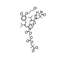 COCCCOc1cc(C[C@@H](C[C@H]2[C@H](C[C@H](C(=O)NCC(C)(C)C(N)=O)C(C)C)OCN2C(=O)OCOC(=O)OCC(C)(C)C(=O)OC)C(C)C)ccc1OC